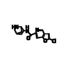 O=C(NC1CC2CNC1C2)c1cc2oc(Cl)cc2cn1